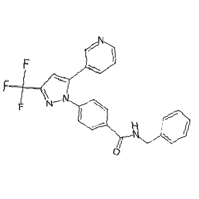 O=C(NCc1ccccc1)c1ccc(-n2nc(C(F)(F)F)cc2-c2cccnc2)cc1